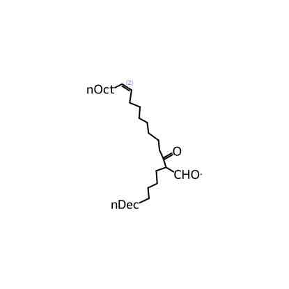 CCCCCCCC/C=C\CCCCCCCC(=O)C([C]=O)CCCCCCCCCCCCCC